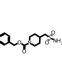 NS(=O)(=O)CC1CCN(C(=O)OCc2ccccc2)CC1